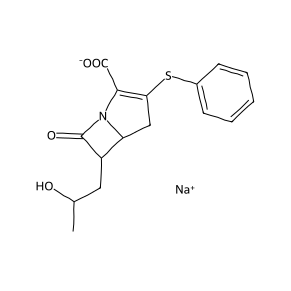 CC(O)CC1C(=O)N2C(C(=O)[O-])=C(Sc3ccccc3)CC12.[Na+]